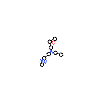 c1ccc(-c2ccc(N(c3ccc(-c4ccc5nc6ccccc6nc5c4)cc3)c3ccc(-c4cccc5c4oc4ccccc45)cc3)cc2)cc1